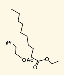 CC(=O)OCCC(C)C.CCCCCCCCCC(=O)OCC